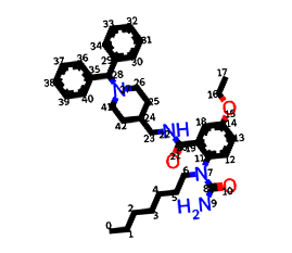 CCCCCCCN(C(N)=O)c1ccc(OCC)cc1C(=O)NCC1CCN(C(c2ccccc2)c2ccccc2)CC1